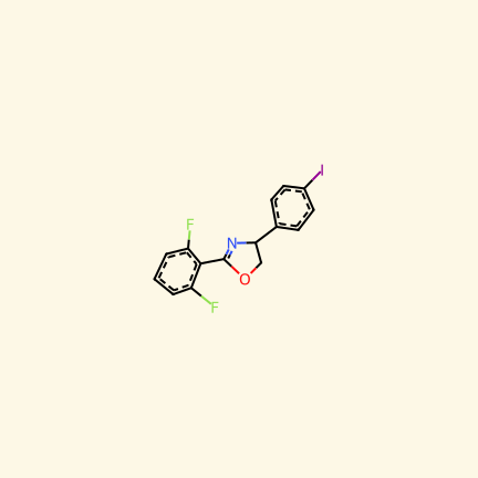 Fc1cccc(F)c1C1=NC(c2ccc(I)cc2)CO1